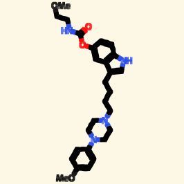 COCCNC(=O)Oc1ccc2[nH]cc(CCCCN3CCN(c4ccc(OC)cc4)CC3)c2c1